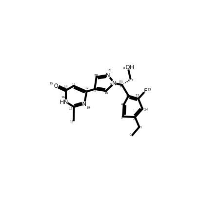 CCc1ccc([C@@H](CO)n2cc(-c3cc(=O)[nH]c(C)n3)cn2)c(F)c1